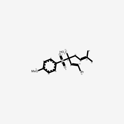 COc1ccc(S(=O)(=O)C(C=CC(C)C)(CC=C(C)C)C(=O)O)cc1